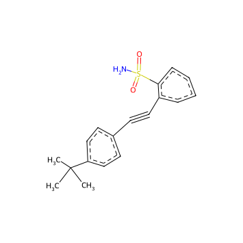 CC(C)(C)c1ccc(C#Cc2ccccc2S(N)(=O)=O)cc1